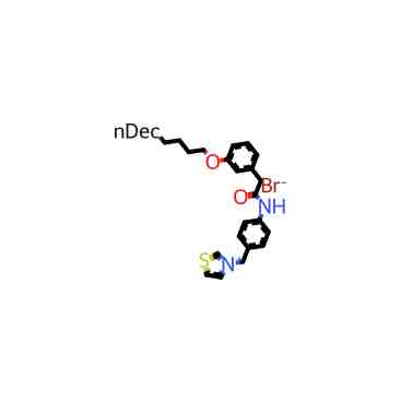 CCCCCCCCCCCCCCOc1cccc(CC(=O)Nc2ccc(C[n+]3ccsc3)cc2)c1.[Br-]